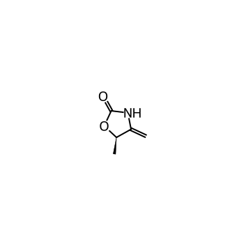 C=C1NC(=O)O[C@@H]1C